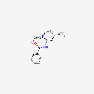 O=C(Nc1cc(C(F)(F)F)ccn1)c1ccccc1.O=CO